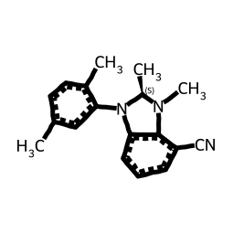 Cc1ccc(C)c(N2c3cccc(C#N)c3N(C)[C@@H]2C)c1